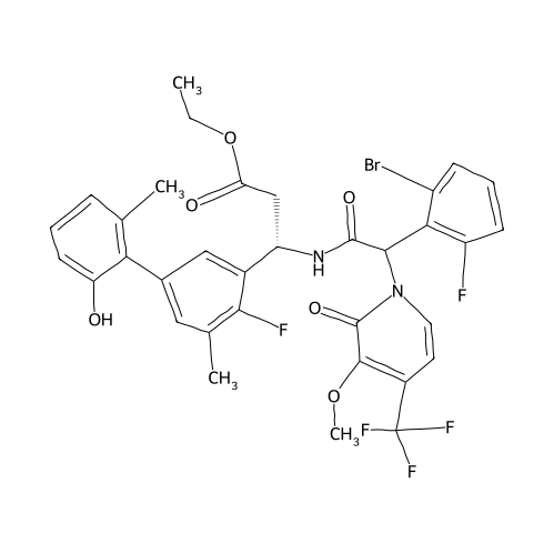 CCOC(=O)C[C@H](NC(=O)C(c1c(F)cccc1Br)n1ccc(C(F)(F)F)c(OC)c1=O)c1cc(-c2c(C)cccc2O)cc(C)c1F